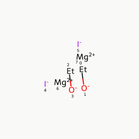 CC[O-].CC[O-].[I-].[I-].[Mg+2].[Mg+2]